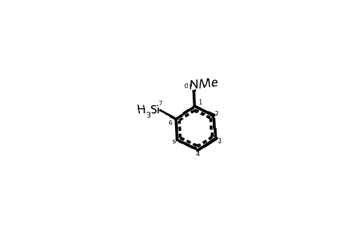 CNc1ccccc1[SiH3]